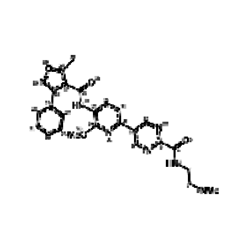 CNCCNC(=O)c1ncc(-c2ccc(NC(=O)c3c(-c4ccccc4)noc3C)c(OC)n2)cn1